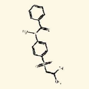 CC(C)CS(=O)(=O)c1ccc(N(N)C(=O)c2ccccc2)cc1